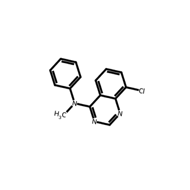 CN(c1ccccc1)c1ncnc2c(Cl)cccc12